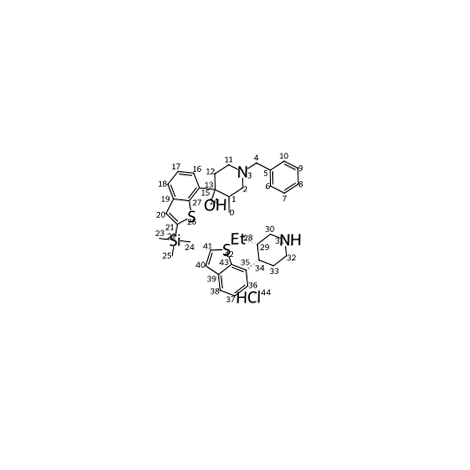 CC1CN(Cc2ccccc2)CCC1(O)c1cccc2cc([Si](C)(C)C)sc12.CC[C@@H]1CNCC[C@@H]1c1cccc2ccsc12.Cl